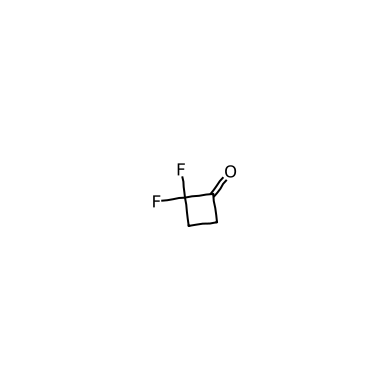 O=C1CCC1(F)F